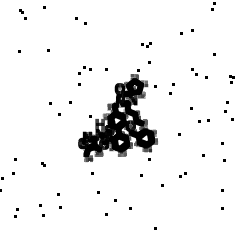 CCCC/C(=N/C1(C=O)CCCC1)N(C)Cc1ccc(-c2ccccc2S(=O)(=O)Nc2noc(C)c2C)c(OCc2ccccc2)c1